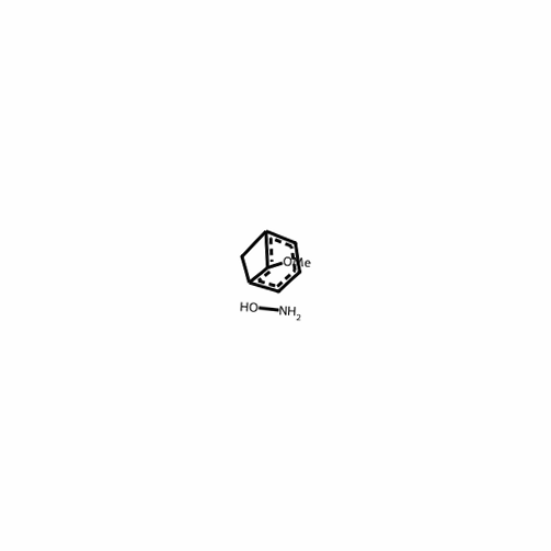 COc1c2cccc1C2.NO